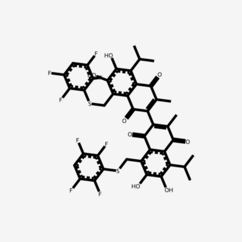 CC1=C(C2=C(C)C(=O)c3c(c(CSc4c(F)c(F)cc(F)c4F)c(O)c(O)c3C(C)C)C2=O)C(=O)c2c(CSc3c(F)c(F)cc(F)c3F)c(O)c(O)c(C(C)C)c2C1=O